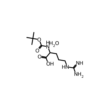 CC(C)(C)OC(=O)NC(CCCNC(=N)N)C(=O)O.O